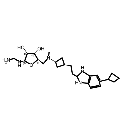 CN(C[C@H]1O[C@@H](NCN)[C@H](O)[C@@H]1O)[C@H]1C[C@H](CCC2Nc3ccc(C4CCC4)cc3N2)C1